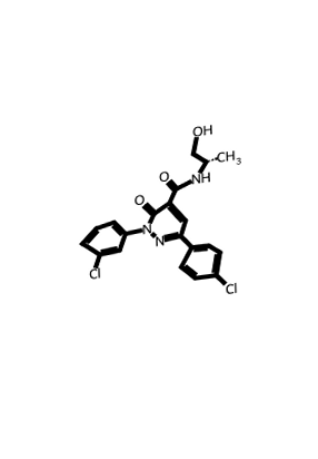 C[C@@H](CO)NC(=O)c1cc(-c2ccc(Cl)cc2)nn(-c2cccc(Cl)c2)c1=O